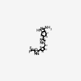 Nc1n[nH]c2cc(-c3cn(Cc4ccc(-c5nnc(C(F)F)o5)s4)nn3)ccc12